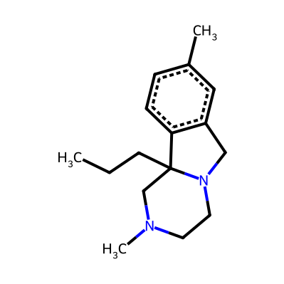 CCCC12CN(C)CCN1Cc1cc(C)ccc12